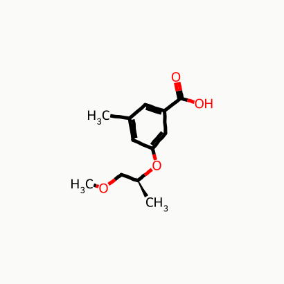 COC[C@H](C)Oc1cc(C)cc(C(=O)O)c1